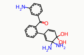 Nc1cccc(C(=O)c2ccccc2C2=CC(N)(N)C(O)(O)C=C2)c1